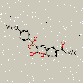 COC(=O)c1ccc2oc(=O)c(S(=O)(=O)c3ccc(OC)cc3)cc2c1